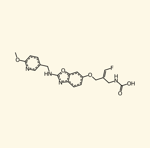 COc1ccc(CNc2nc3ccc(OCC(=CF)CNC(=O)O)cc3o2)cn1